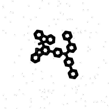 CC1(c2cc(-c3ccc(N(c4ccc(-c5ccccc5)cc4)c4cccc(-c5ccccc5)c4)cc3)cc3c2oc2ccccc23)c2ccccc2-c2ccccc21